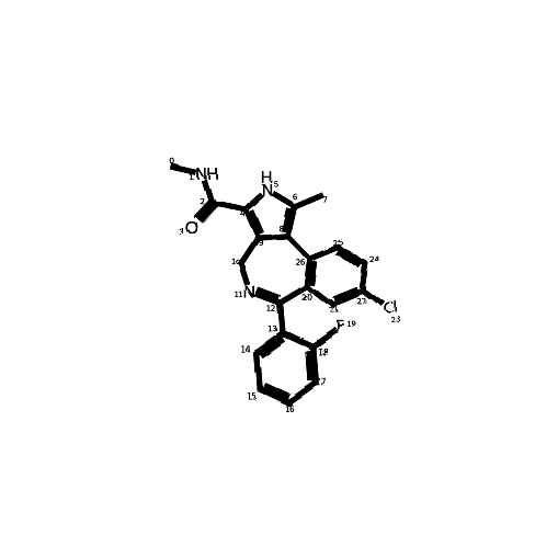 CNC(=O)c1[nH]c(C)c2c1CN=C(c1ccccc1F)c1cc(Cl)ccc1-2